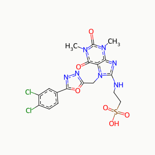 Cn1c(=O)c2c(nc(NCCS(=O)(=O)O)n2Cc2nnc(-c3ccc(Cl)c(Cl)c3)o2)n(C)c1=O